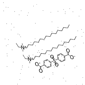 CCCCCCCCCCCCCCCC[N+](C)(C)CC.CCCCCCCCCCCCCCCC[N+](C)(C)CC.O=C([O-])c1ccc(S(=O)(=O)c2ccc(C(=O)[O-])cc2)cc1